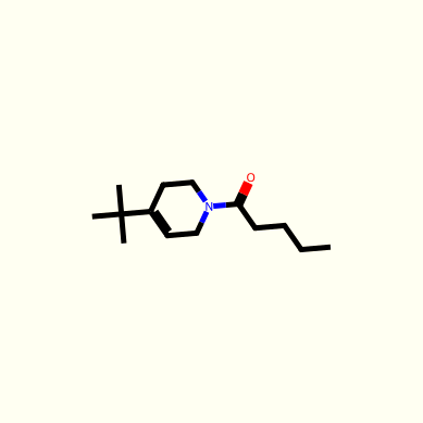 CCCCC(=O)N1CC=C(C(C)(C)C)CC1